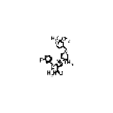 CC1(C)CC(CN2CCC(C)(n3cc(C(N)=O)c(Nc4ccnc(F)c4)n3)CC2)CCO1